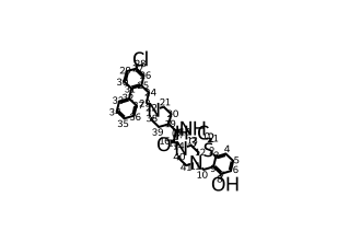 CCSc1cccc(O)c1CN1CCN(C(=O)[C@H](N)C2CCN(CCc3cc(Cl)ccc3-c3ccccc3)CC2)CC1